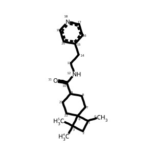 CC1CC(C)(C)C12CCC(C(=O)NCCc1ccncc1)CC2